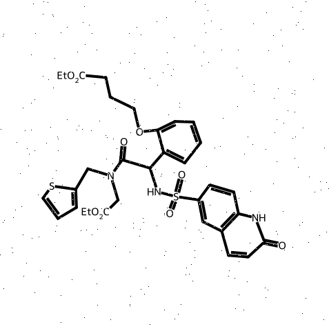 CCOC(=O)CCCOc1ccccc1C(NS(=O)(=O)c1ccc2[nH]c(=O)ccc2c1)C(=O)N(CC(=O)OCC)Cc1cccs1